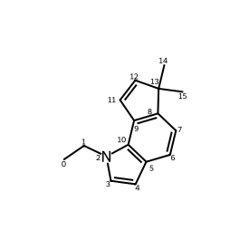 CCn1ccc2ccc3c(c21)C=CC3(C)C